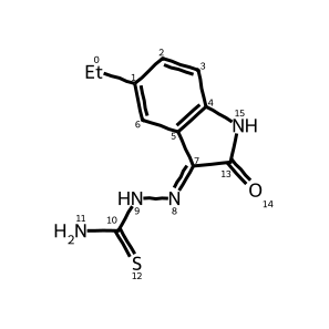 CCc1ccc2c(c1)/C(=N\NC(N)=S)C(=O)N2